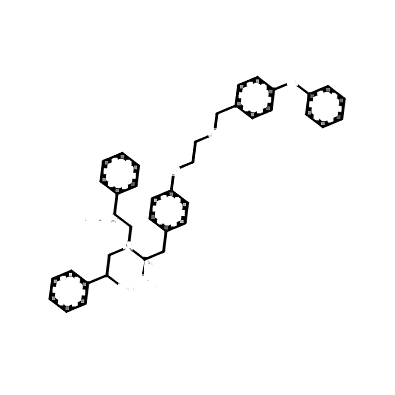 C[C@H](Cc1ccc(OCCOCc2ccc(Oc3ccccc3)cc2)cc1)N(CC(O)c1ccccc1)C[C@H](O)c1ccccc1